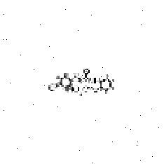 O=C(N[C@@H](Cc1ccccc1)C(=O)O)SCc1ccc(Cl)cc1